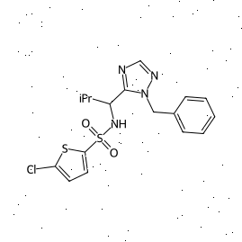 CC(C)C(NS(=O)(=O)c1ccc(Cl)s1)c1ncnn1Cc1ccccc1